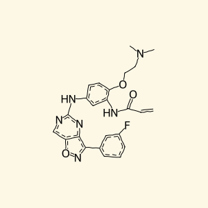 C=CC(=O)Nc1cc(Nc2ncc3onc(-c4cccc(F)c4)c3n2)ccc1OCCN(C)C